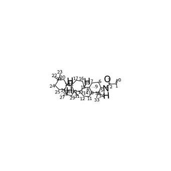 C=CC(=O)NC1CC[C@@]2(C)C(CC[C@]3(C)[C@@H]2CC[C@@H]2[C@H]4CC(C)(C)CC[C@]4(C)CC[C@]23C)C1(C)C